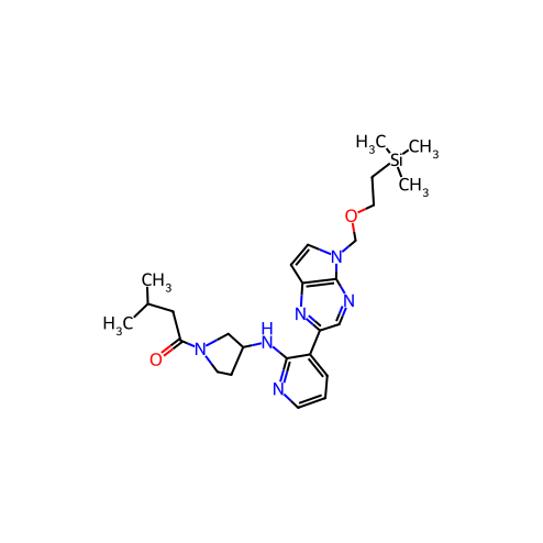 CC(C)CC(=O)N1CCC(Nc2ncccc2-c2cnc3c(ccn3COCC[Si](C)(C)C)n2)C1